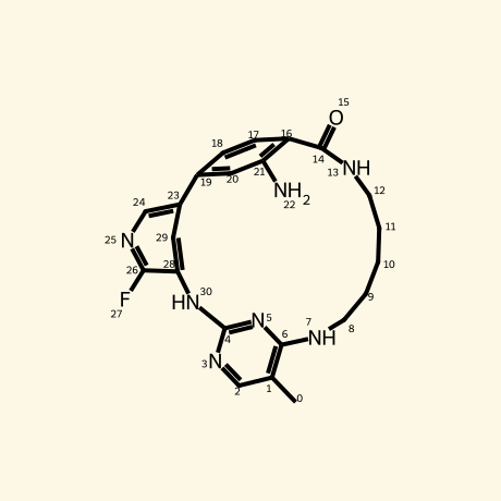 Cc1cnc2nc1NCCCCCNC(=O)c1ccc(cc1N)-c1cnc(F)c(c1)N2